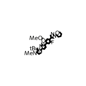 CNC1CCN(c2ccc(-c3cc(F)c(-c4cnn(C5CCCCO5)c4)cc3OCOC)nn2)C1C(C)(C)C